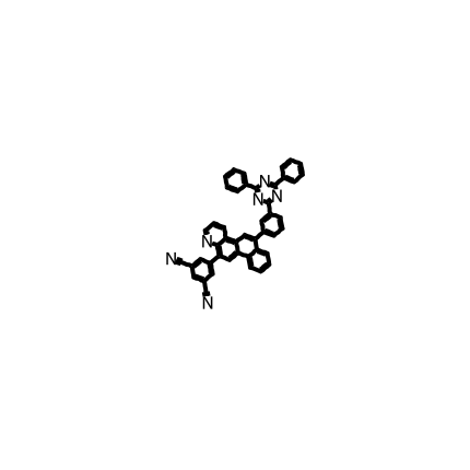 N#Cc1cc(C#N)cc(-c2cc3c4ccccc4c(-c4cccc(-c5nc(-c6ccccc6)nc(-c6ccccc6)n5)c4)cc3c3cccnc23)c1